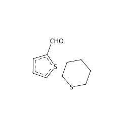 C1CCSCC1.O=Cc1cccs1